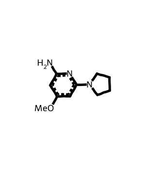 COc1cc(N)nc(N2CCCC2)c1